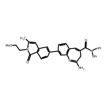 CCCN(CCC)C(=O)C1=Cc2ccc(-c3ccc4c(=O)n(CCSC)c(C)cc4c3)cc2N=C(N)C1